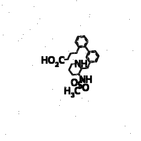 CS(=O)(=O)NC1CCCNC1Cc1cccc(-c2ccccc2CCCC(=O)O)c1